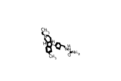 CCN1CC[C@H]2[C@H](c3ccc(C=NNC(N)=O)cc3)c3cc(C)ccc3[C@H]2C1